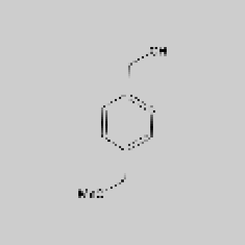 COCc1ccc(CO)nc1